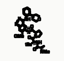 CN[C@@H](C)C(=O)N[C@H](C(=O)N1CCCC1C(=O)Nc1cc2c(Nc3ccccc3N3CCOCC3)ncnc2cc1OC)C(C)(C)C